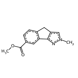 COC(=O)c1ccc2c(c1)-c1nn(C)cc1C2